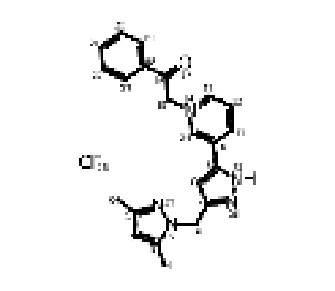 Cc1cc(C)n(Cc2cc(-c3ccc[n+](CC(=O)c4ccccc4)c3)[nH]n2)n1.[Cl-]